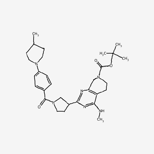 CNc1nc(C2CCN(C(=O)c3ccc(N4CCC(C)CC4)cc3)C2)nc2c1CCN(C(=O)OC(C)(C)C)C2